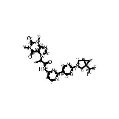 CC(C(=O)Nc1ccnc(-c2cnc(N3CC4CC4(C(F)F)C3)nc2)n1)n1cnc2c1c(=O)n(C)c(=O)n2C